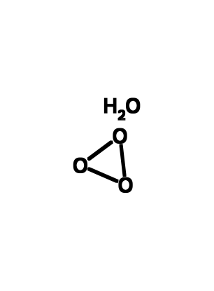 O.o1oo1